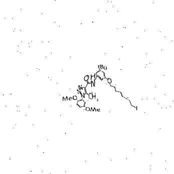 COc1ccc(OC)c(-n2nnc(C(=O)Nc3cc(OCCCCCCCI)cc(C(C)(C)C)c3)c2C)c1